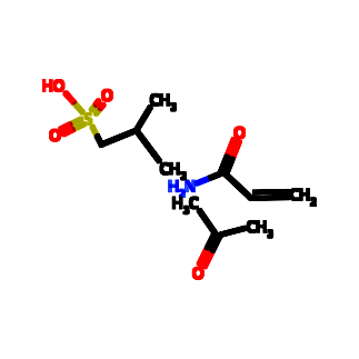 C=CC(N)=O.CC(C)=O.CC(C)CS(=O)(=O)O